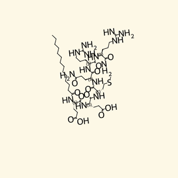 CCCCCCCCCCCCCC(=O)N[C@@H](CCC(=O)O)C(=O)N[C@@H](CCC(=O)O)C(=O)N[C@@H](CCSC)C(=O)N[C@@H](CCC(N)=O)C(=O)N[C@@H](CCCNC(=N)N)C(=O)N[C@@H](CCCNC(=N)N)C(N)=O